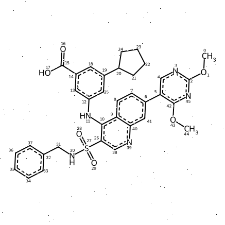 COc1ncc(-c2ccc3c(Nc4cc(C(=O)O)cc(C5CCCC5)c4)c(S(=O)(=O)NCc4ccccc4)cnc3c2)c(OC)n1